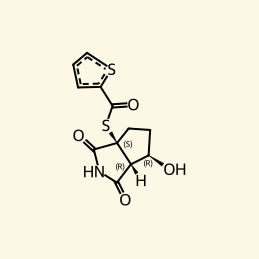 O=C(S[C@@]12CC[C@@H](O)[C@@H]1C(=O)NC2=O)c1cccs1